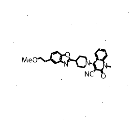 COCCc1ccc2oc(C3CCN(c4c(C#N)c(=O)n(C)c5ccccc45)CC3)nc2c1